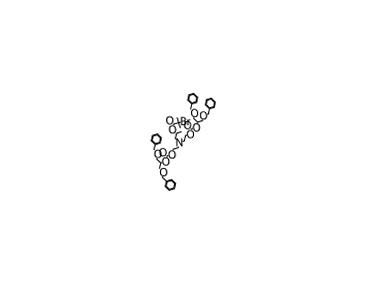 CC(CN(CCOC(=O)OC(COCc1ccccc1)COCc1ccccc1)CCOC(=O)OC(COCc1ccccc1)COCc1ccccc1)OC(=O)C(C)(C)Br